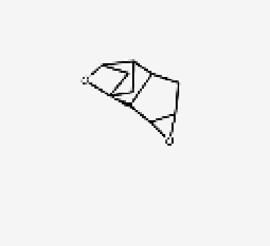 C1C2OC2C2C1C1C[C@]23CC1O3